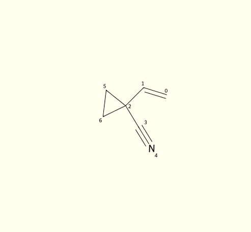 C=CC1(C#N)CC1